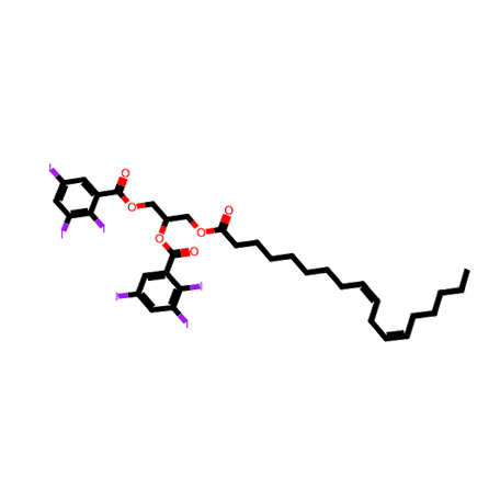 CCCCC/C=C\C/C=C\CCCCCCCC(=O)OCC(COC(=O)c1cc(I)cc(I)c1I)OC(=O)c1cc(I)cc(I)c1I